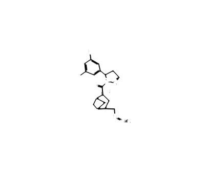 [N-]=[N+]=NC[C@@H]1C[C@H](C(=O)N2N=CCC2c2cc(F)cc(F)c2)C2CC1C2